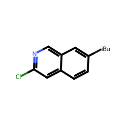 CCC(C)c1ccc2cc(Cl)ncc2c1